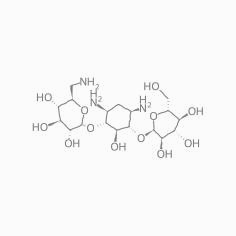 NC[C@H]1O[C@H](O[C@H]2[C@H](O)[C@@H](O[C@H]3O[C@H](CO)[C@@H](O)[C@H](O)[C@H]3O)[C@H](N)C[C@@H]2N)[C@H](O)[C@@H](O)[C@@H]1O